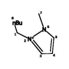 CCCCC[n+]1cccn1C